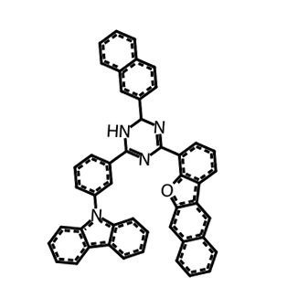 c1cc(C2=NC(c3cccc4c3oc3cc5ccccc5cc34)=NC(c3ccc4ccccc4c3)N2)cc(-n2c3ccccc3c3ccccc32)c1